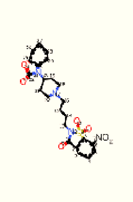 O=C1c2cccc([N+](=O)[O-])c2S(=O)(=O)N1CCCCN1CCC(n2c(=O)oc3ccccc32)CC1